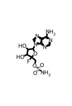 Nc1ncnc2c1ncn2C1OC(F)(COS(N)(=O)=O)C(O)C1O